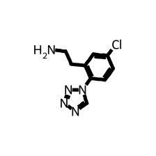 NCCc1cc(Cl)ccc1-n1cnnn1